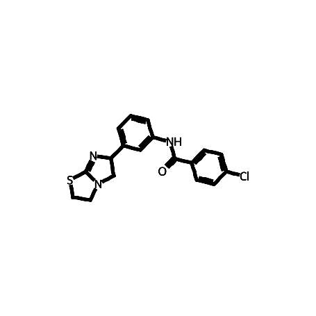 O=C(Nc1cccc(C2CN3CCSC3=N2)c1)c1ccc(Cl)cc1